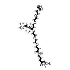 CCC(C)/C=C/CNC(=O)CCOCCOCCOC(C)(CCOCCOCCNC)SSC(C)(C)C